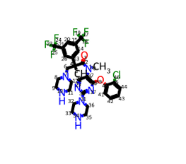 CN(C(=O)C(C)(CN1CCNCC1)c1cc(C(F)(F)F)cc(C(F)(F)F)c1)c1cnc(N2CCNCC2)nc1Oc1ccccc1Cl